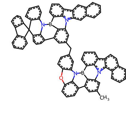 Cc1cc2c3c(c1)-n1c4c(cccc4c4ccc5ccccc5c41)B3N1c3cc(Cc4cc5c6c(c4)-n4c7cc8ccccc8cc7c7cccc(c74)B6N4c6ccccc6C6(c7ccccc7-c7ccccc76)c6cccc-5c64)ccc3Oc3cccc-2c31